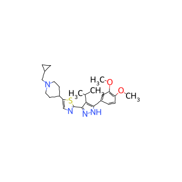 COc1ccc(-c2[nH]nc(-c3ncc(C4CCN(CC5CC5)CC4)s3)c2C(C)C)cc1OC